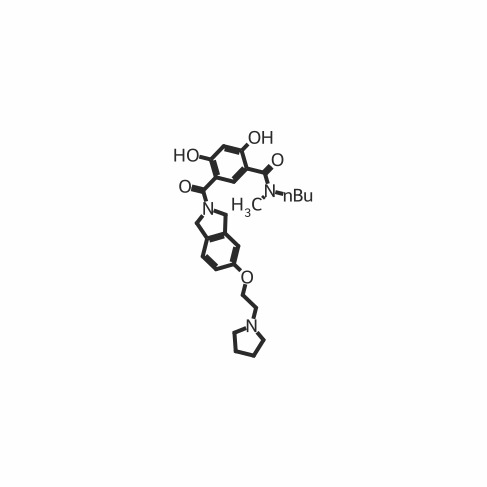 CCCCN(C)C(=O)c1cc(C(=O)N2Cc3ccc(OCCN4CCCC4)cc3C2)c(O)cc1O